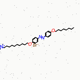 CCCCCCCCOc1ccc(N=Nc2ccc(OCCCCCCCCCC[N+](C)(C)C)cc2)cc1.[Br-]